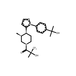 C[C@@H]1CN(C(=O)[C@@](C)(O)C(F)(F)F)CC[C@@H]1c1ccnn1-c1ccc(C(C)(C)O)cc1